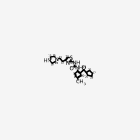 Cc1ccc(NC(=O)Nc2nc(CCN3CCNCC3)cs2)c(C(=O)C2CCCC2)c1